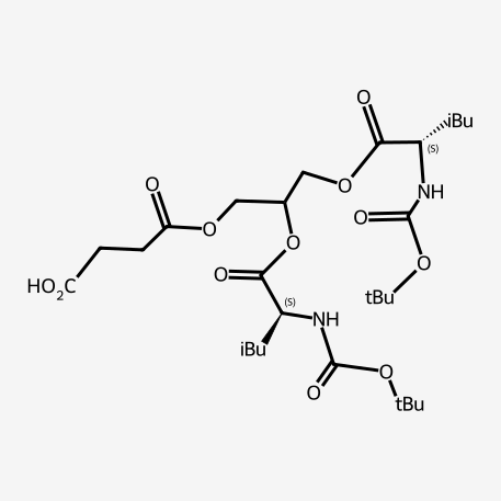 CCC(C)[C@H](NC(=O)OC(C)(C)C)C(=O)OCC(COC(=O)CCC(=O)O)OC(=O)[C@@H](NC(=O)OC(C)(C)C)C(C)CC